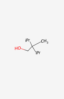 CC(C)C(C)(CO)C(C)C